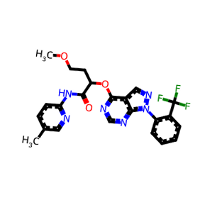 COCCC(Oc1ncnc2c1cnn2-c1ccccc1C(F)(F)F)C(=O)Nc1ccc(C)cn1